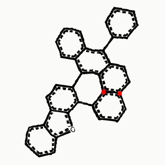 c1ccc(-c2c3ccccc3c(-c3ccc4c(oc5ccccc54)c3-c3ccccc3)c3ccccc23)cc1